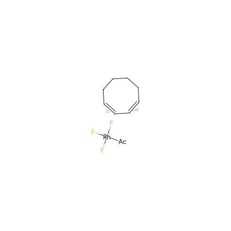 C1=C\CCCC\C=C/1.C[C](=O)[Rh]([F])([F])[F]